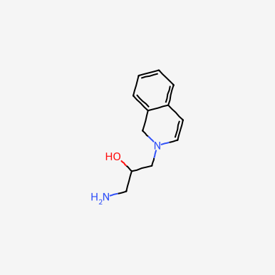 NCC(O)CN1C=Cc2ccccc2C1